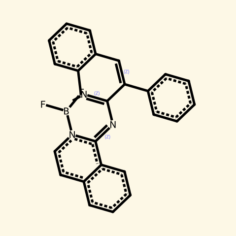 C/N=C(\N=c1\c2ccccc2ccn1B(F)F)C(=C\c1ccccc1C)/c1ccccc1